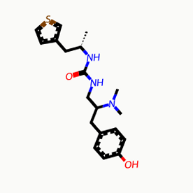 C[C@@H](Cc1ccsc1)NC(=O)NCC(Cc1ccc(O)cc1)N(C)C